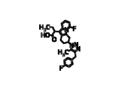 CCC(C(=O)O)c1c2c(n3c(F)cccc13)CC(n1nnc(Cc3ccc(F)cc3)c1C)CC2